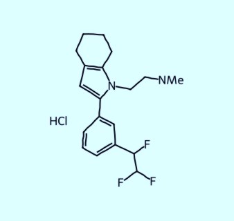 CNCCn1c(-c2cccc(C(F)C(F)F)c2)cc2c1CCCC2.Cl